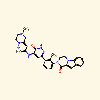 C=C(/C=C1/CN(C)CCN1N)Nc1cc(-c2cccc(N3CCn4c(cc5ccccc54)C3=O)c2C)n[nH]c1=O